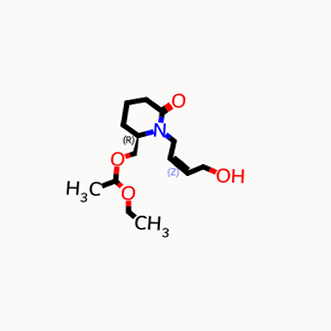 CCOC(C)OC[C@H]1CCCC(=O)N1C/C=C\CO